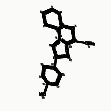 COc1nc2ccccc2n2cc(-c3ccc(O)cc3)nc12